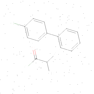 CC(C)C(=O)Cl.Clc1ccc(-c2ccccc2)cc1